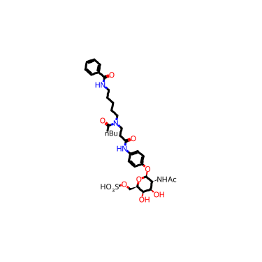 CCCCC(=O)N(CCCCCNC(=O)c1ccccc1)CCC(=O)Nc1ccc(O[C@@H]2O[C@H](COS(=O)(=O)O)[C@H](O)[C@H](O)[C@H]2NC(C)=O)cc1